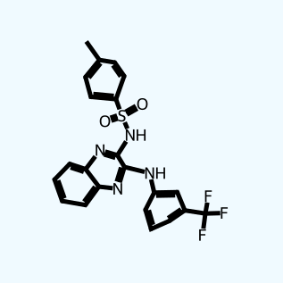 Cc1ccc(S(=O)(=O)Nc2nc3ccccc3nc2Nc2cccc(C(F)(F)F)c2)cc1